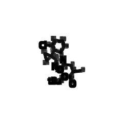 C=C(Cc1nc(C2(c3ccccc3Cl)CC2)no1)C(=O)OC(C)(C)C